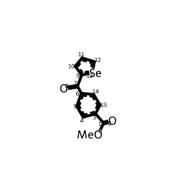 COC(=O)c1ccc(C(=O)c2ccc[se]2)cc1